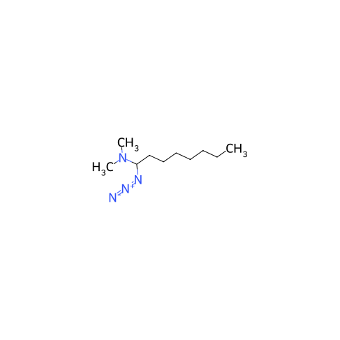 CCCCCCCC(N=[N+]=[N-])N(C)C